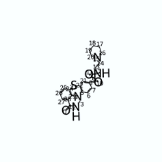 O=C1NCN2c3ccc(S(=O)(=O)NCCN4CCCCC4)cc3Sc3cccc1c32